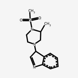 CC1CN(C2C=Nc3ccccc32)CCN1S(C)(=O)=O